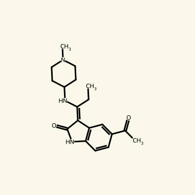 CC/C(NC1CCN(C)CC1)=C1/C(=O)Nc2ccc(C(C)=O)cc21